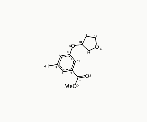 COC(=O)c1cc(I)cc(OC2CCOC2)c1